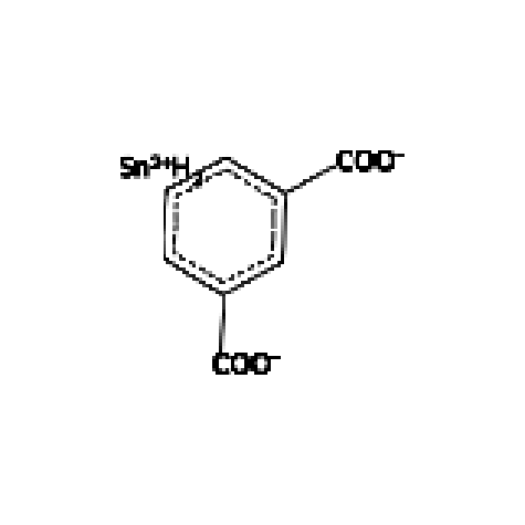 O=C([O-])c1cccc(C(=O)[O-])c1.[SnH2+2]